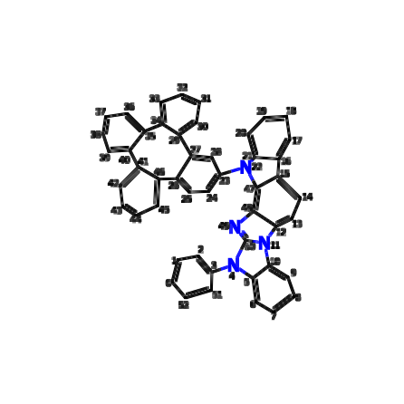 c1ccc(-n2c3ccccc3n3c4ccc5c6ccccc6n(-c6ccc7c(c6)-c6ccccc6-c6ccccc6-c6ccccc6-7)c5c4nc23)cc1